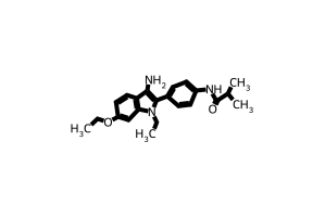 CCOc1ccc2c(N)c(-c3ccc(NC(=O)C(C)C)cc3)n(CC)c2c1